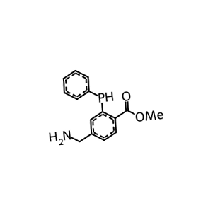 COC(=O)c1ccc(CN)cc1Pc1ccccc1